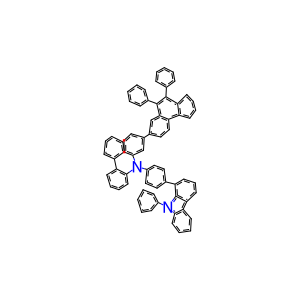 c1ccc(-c2ccccc2N(c2ccc(-c3cccc4c5ccccc5n(-c5ccccc5)c34)cc2)c2cccc(-c3ccc4c(c3)c(-c3ccccc3)c(-c3ccccc3)c3ccccc34)c2)cc1